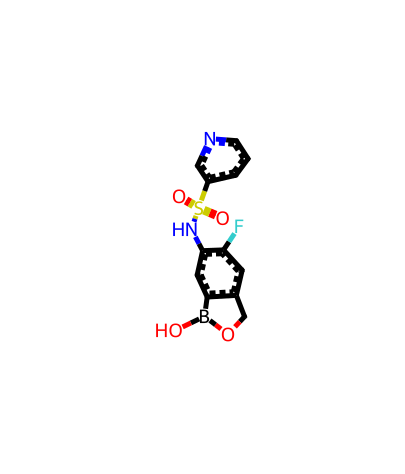 O=S(=O)(Nc1cc2c(cc1F)COB2O)c1cccnc1